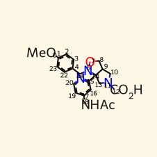 COc1ccc(CN2OCC3CN(C(=O)O)CC32c2cc(NC(C)=O)ccn2)cc1